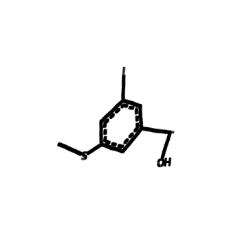 CSc1cc(I)cc([CH]O)c1